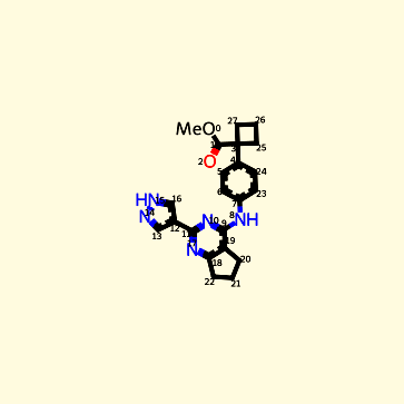 COC(=O)C1(c2ccc(Nc3nc(-c4cn[nH]c4)nc4c3CCC4)cc2)CCC1